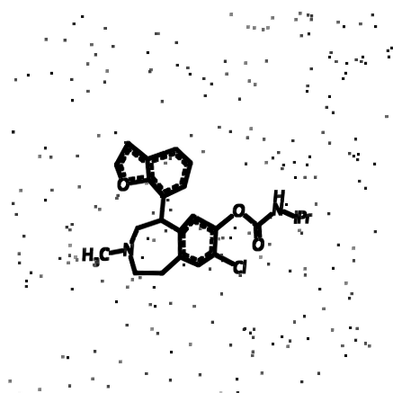 CC(C)NC(=O)Oc1cc2c(cc1Cl)CCN(C)CC2c1cccc2ccoc12